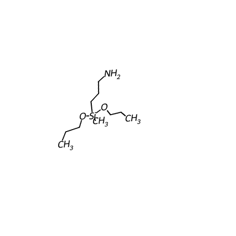 CCCO[Si](C)(CCCN)OCCC